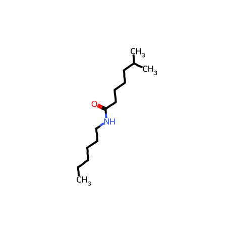 CCCCCCNC(=O)CCCCC(C)C